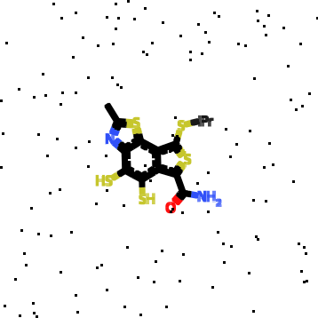 Cc1nc2c(S)c(S)c3c(C(N)=O)sc(SC(C)C)c3c2s1